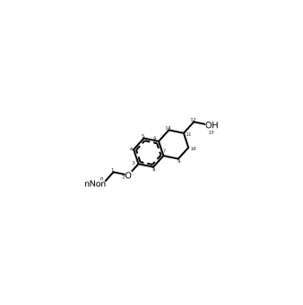 CCCCCCCCCCOc1ccc2c(c1)CCC(CO)C2